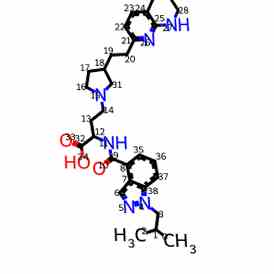 CC(C)Cn1ncc2c(C(=O)NC(CCN3CCC(CCc4ccc5c(n4)NCCC5)C3)C(=O)O)cccc21